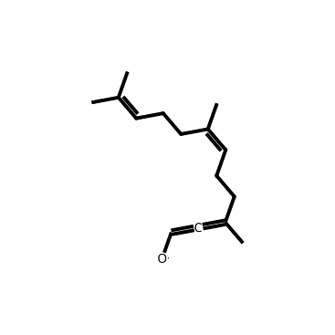 CC(=C=C[O])CCC=C(C)CCC=C(C)C